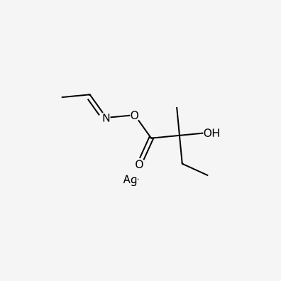 CC=NOC(=O)C(C)(O)CC.[Ag]